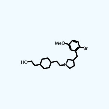 COc1ccc(Br)c(CC2CCN(CCC3CCC(CCO)CC3)C2)c1